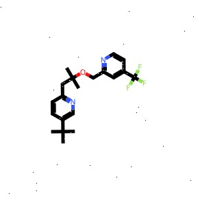 CC(C)(Cc1ccc(C(C)(C)C)cn1)OCc1cc(C(F)(F)F)ccn1